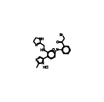 Cc1nc(-c2ccccc2NCC2=NCCN2)cs1.Cl.O=C(CBr)c1ccccc1[N+](=O)[O-]